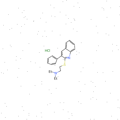 CCN(CC)CCSc1nc2ccccc2cc1-c1ccccc1.Cl